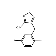 O=[N+]([O-])c1c[nH]nc1Cc1cc(F)ccc1F